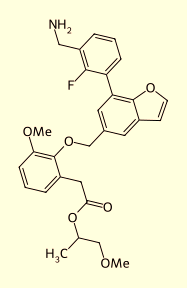 COCC(C)OC(=O)Cc1cccc(OC)c1OCc1cc(-c2cccc(CN)c2F)c2occc2c1